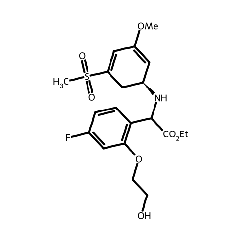 CCOC(=O)C(N[C@@H]1C=C(OC)C=C(S(C)(=O)=O)C1)c1ccc(F)cc1OCCO